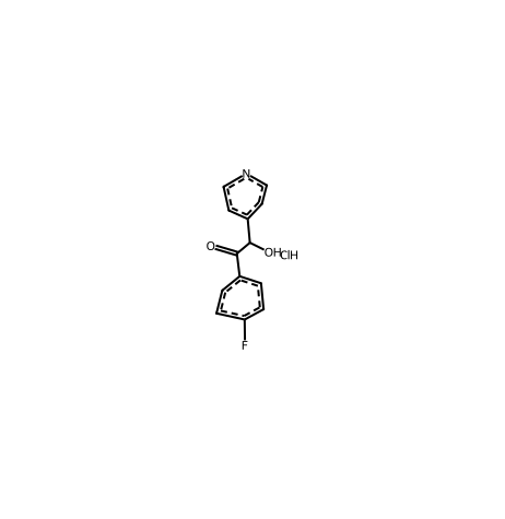 Cl.O=C(c1ccc(F)cc1)C(O)c1ccncc1